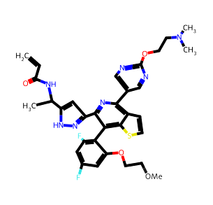 C=CC(=O)NC(C)c1cc(-c2nc(-c3cnc(OCCN(C)C)nc3)c3ccsc3c2-c2c(F)cc(F)cc2OCCOC)n[nH]1